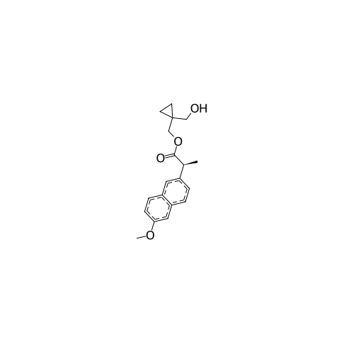 COc1ccc2cc([C@H](C)C(=O)OCC3(CO)CC3)ccc2c1